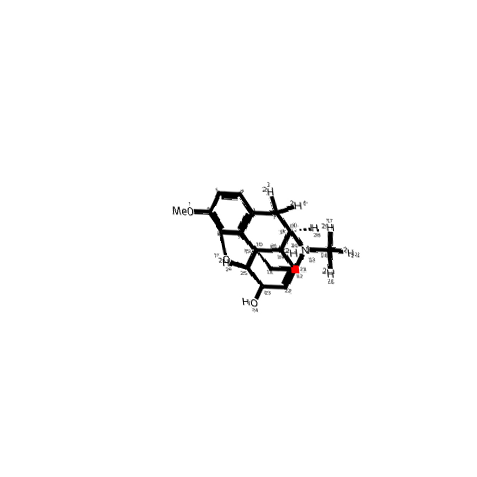 [2H]C1([2H])c2ccc(OC)c3c2[C@]24CCN(C([2H])([2H])[2H])[C@H]1[C@]2([2H])C=CC(O)C4([2H])O3